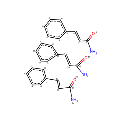 NC(=O)C=Cc1ccccc1.NC(=O)C=Cc1ccccc1.NC(=O)C=Cc1ccccc1